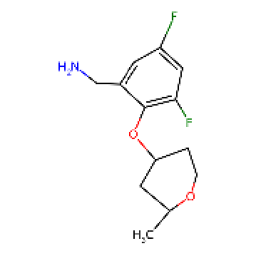 CC1CC(Oc2c(F)cc(F)cc2CN)CCO1